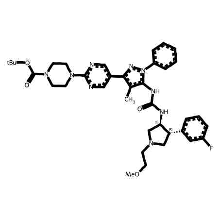 COCCN1C[C@@H](NC(=O)Nc2c(C)c(-c3cnc(N4CCN(C(=O)OC(C)(C)C)CC4)nc3)nn2-c2ccccc2)[C@H](c2cccc(F)c2)C1